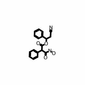 N#CCC(OC(=O)C(C(=O)N=O)c1ccccc1)c1ccccc1